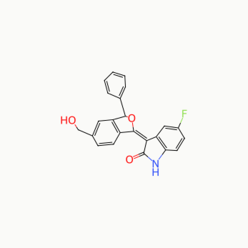 O=C1Nc2ccc(F)cc2C1=C1OC(c2ccccc2)c2cc(CO)ccc21